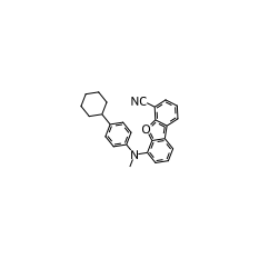 CN(c1ccc(C2CCCCC2)cc1)c1cccc2c1oc1c(C#N)cccc12